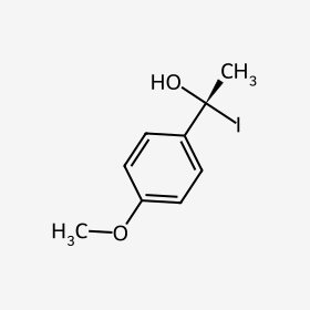 COc1ccc([C@](C)(O)I)cc1